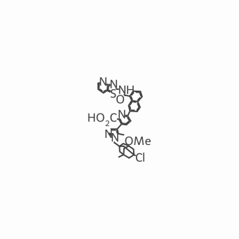 COC12CC3(C)CC(Cl)(CC(Cn4ncc(-c5ccc(-c6ccc7cccc(C(=O)Nc8nc9ncccc9s8)c7c6)nc5C(=O)O)c4C)(C3)C1)C2